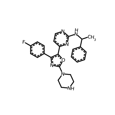 CC(Nc1nccc(-c2oc(N3CCNCC3)nc2-c2ccc(F)cc2)n1)c1ccccc1